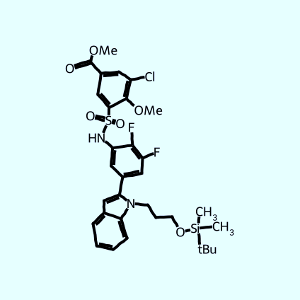 COC(=O)c1cc(Cl)c(OC)c(S(=O)(=O)Nc2cc(-c3cc4ccccc4n3CCCO[Si](C)(C)C(C)(C)C)cc(F)c2F)c1